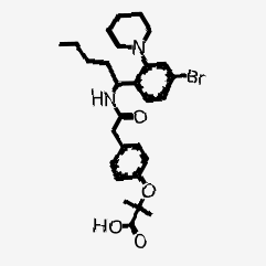 CCCCC(NC(=O)Cc1ccc(OC(C)(C)C(=O)O)cc1)c1ccc(Br)cc1N1CCCCC1